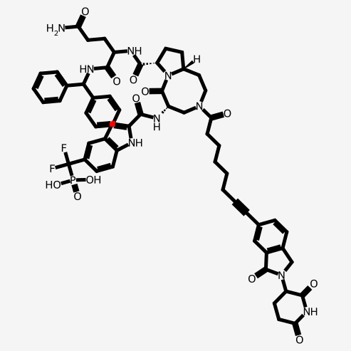 NC(=O)CCC(NC(=O)[C@@H]1CC[C@@H]2CCN(C(=O)CCCCCC#Cc3ccc4c(c3)C(=O)N(C3CCC(=O)NC3=O)C4)C[C@H](NC(=O)c3cc4cc(C(F)(F)P(=O)(O)O)ccc4[nH]3)C(=O)N21)C(=O)NC(c1ccccc1)c1ccccc1